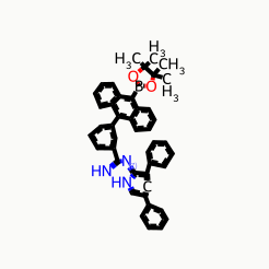 CC1(C)OB(c2c3ccccc3c(-c3cccc(C(=N)/N=c4\[nH]cc(-c5ccccc5)cc4-c4ccccc4)c3)c3ccccc23)OC1(C)C